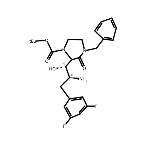 CC(C)(C)OC(=O)N1CCN(Cc2ccccc2)C(=O)C1[C@@H](O)[C@@H](N)Cc1cc(F)cc(F)c1